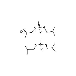 CC(C)COP(=S)([S-])OCC(C)C.CC(C)COP(=S)([S-])OCC(C)C.[Sn+2]